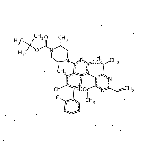 C=Cc1nc(C(C)C)c(-n2c(=O)nc(N3C[C@@H](C)N(C(=O)OC(C)(C)C)C[C@@H]3C)c3cc(Cl)c(-c4ccccc4F)nc32)c(C(C)C)n1